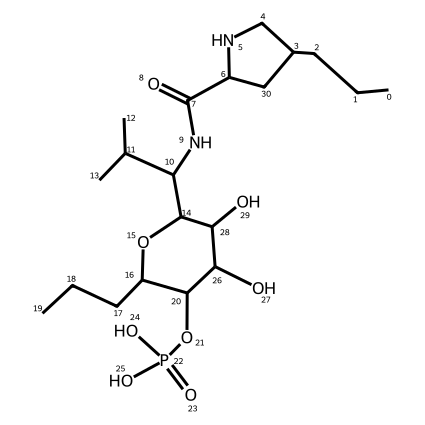 CCCC1CNC(C(=O)NC(C(C)C)C2OC(CCC)C(OP(=O)(O)O)C(O)C2O)C1